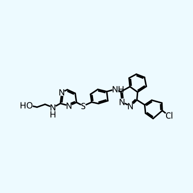 OCCNc1nccc(Sc2ccc(Nc3nnc(-c4ccc(Cl)cc4)c4ccccc34)cc2)n1